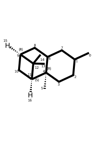 CC1CC[C@]2(C)C(C1)C[C@@H]1C[C@H]2C1(C)C